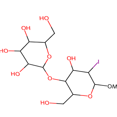 COC1OC(CO)C(OC2OC(CO)C(O)C(O)C2O)C(O)C1I